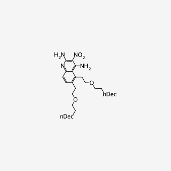 CCCCCCCCCCCCOCCc1ccc2nc(N)c([N+](=O)[O-])c(N)c2c1CCOCCCCCCCCCCCC